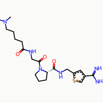 CN(C)CCCCC(=O)NCC(=O)N1CCC[C@H]1C(=O)NCc1cc(C(=N)N)cs1